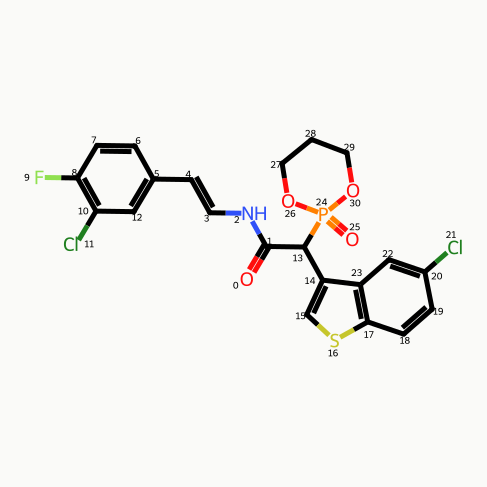 O=C(NC=Cc1ccc(F)c(Cl)c1)C(c1csc2ccc(Cl)cc12)P1(=O)OCCCO1